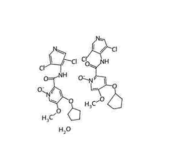 COc1c[n+]([O-])c(C(=O)Nc2c(Cl)cncc2Cl)cc1OC1CCCC1.COc1c[n+]([O-])c(C(=O)Nc2c(Cl)cncc2Cl)cc1OC1CCCC1.O